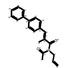 C=CCN(C(C)=O)C(=O)/C(C)=C/c1ccc(-c2ccccc2)cc1